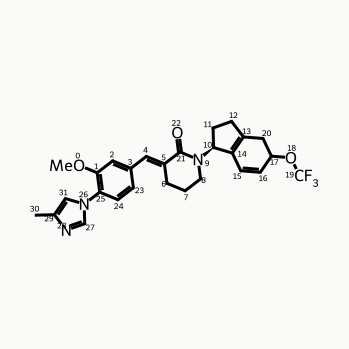 COc1cc(/C=C2\CCCN([C@H]3CCC4=C3C=CC(OC(F)(F)F)C4)C2=O)ccc1-n1cnc(C)c1